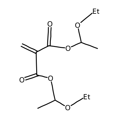 C=C(C(=O)OC(C)OCC)C(=O)OC(C)OCC